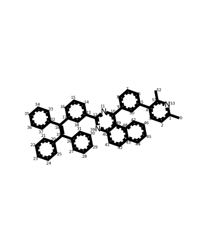 Cc1ccc(-c2cccc(-c3nc(-c4cccc(C(=C(c5ccccc5)c5ccccc5)c5ccccc5)c4)nc4ccc5ccccc5c34)c2)c(C)n1